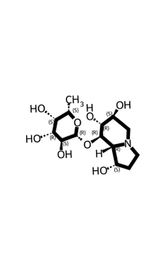 C[C@@H]1O[C@H](O[C@H]2[C@H](O)[C@@H](O)CN3CC[C@H](O)[C@H]23)[C@@H](O)[C@H](O)[C@@H]1O